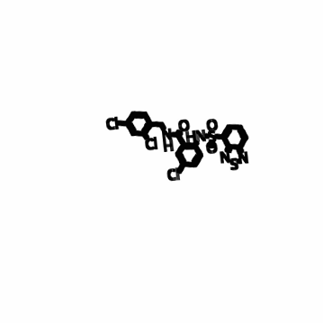 O=C(NCc1ccc(Cl)cc1Cl)c1cc(Cl)ccc1NS(=O)(=O)c1cccc2nsnc12